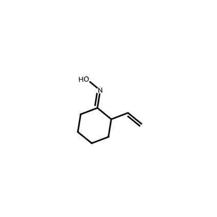 C=CC1CCCCC1=NO